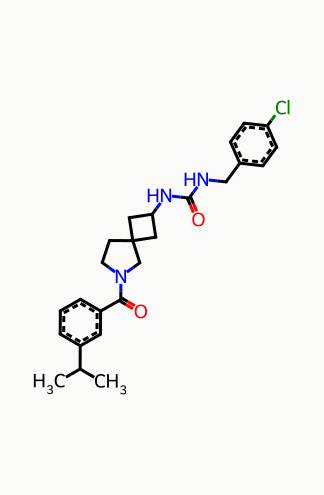 CC(C)c1cccc(C(=O)N2CCC3(CC(NC(=O)NCc4ccc(Cl)cc4)C3)C2)c1